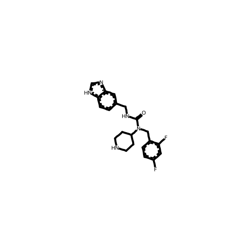 O=C(NCc1ccc2[nH]cnc2c1)N(Cc1ccc(F)cc1F)C1CCNCC1